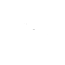 Cl.NC(=O)C[C@H]1CCCCN1